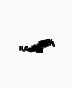 CCCOc1ccc([C@@H]2COc3c(ccc4c3CCC(C)(C)O4)C2)c(O)c1